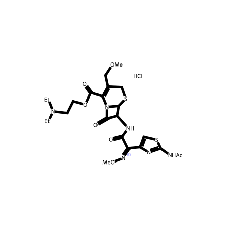 CCN(CC)CCOC(=O)C1=C(COC)CSC2C(NC(=O)/C(=N\OC)c3csc(NC(C)=O)n3)C(=O)N12.Cl